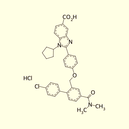 CN(C)C(=O)c1ccc(-c2ccc(Cl)cc2)c(COc2ccc(-c3nc4cc(C(=O)O)ccc4n3C3CCCC3)cc2)c1.Cl